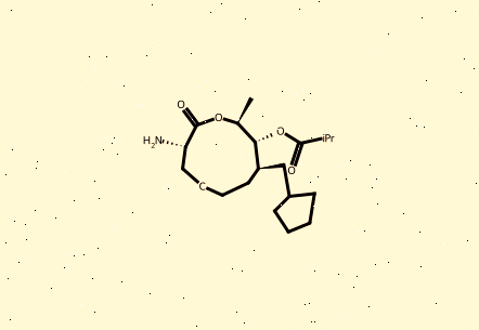 CC(C)C(=O)O[C@@H]1[C@@H](CC2CCCC2)CCCC[C@H](N)C(=O)O[C@H]1C